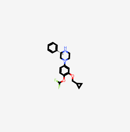 FC(F)Oc1ccc(N2CCN[C@@H](c3ccccc3)C2)cc1OCC1CC1